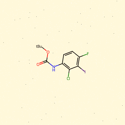 CC(C)(C)OC(=O)Nc1ccc(F)c(I)c1Cl